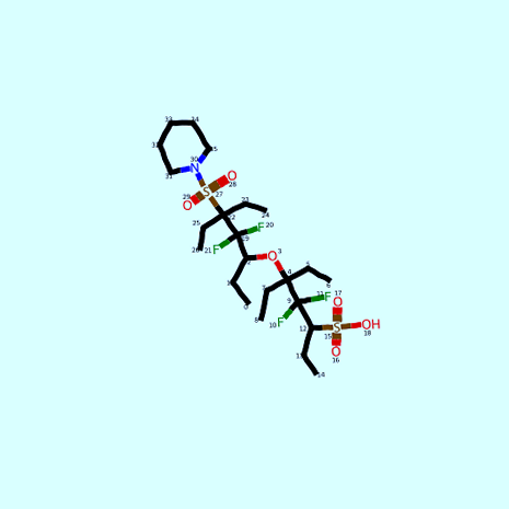 CCC(OC(CC)(CC)C(F)(F)C(CC)S(=O)(=O)O)C(F)(F)C(CC)(CC)S(=O)(=O)N1CCCCC1